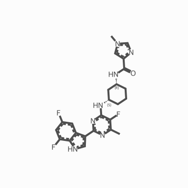 Cc1nc(-c2c[nH]c3c(F)cc(F)cc23)nc(N[C@H]2CCC[C@@H](NC(=O)c3cn(C)cn3)C2)c1F